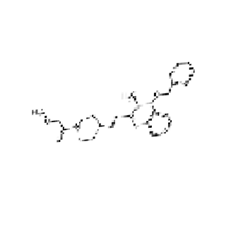 COCC(=O)N1CCC(/C=C/c2nc3ccccc3c(OCc3ccccc3)c2C)CC1